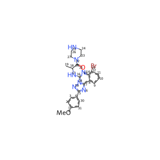 COc1ccc(-c2nc3c4cccc(Br)c4nc(NC(C)C(=O)N4CCNCC4)n3n2)cc1